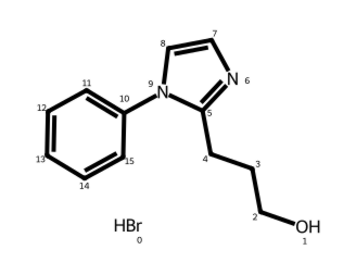 Br.OCCCc1nccn1-c1ccccc1